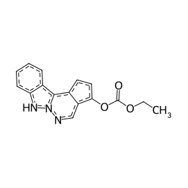 CCOC(=O)Oc1ccc2c3c4ccccc4[nH]n3ncc1-2